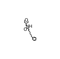 O=C(C=CCCCCc1ccccc1)NCC1CCOCC1